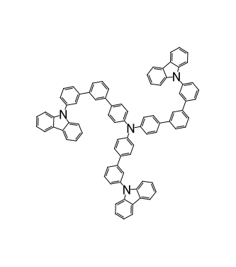 c1cc(-c2ccc(N(c3ccc(-c4cccc(-c5cccc(-n6c7ccccc7c7ccccc76)c5)c4)cc3)c3ccc(-c4cccc(-n5c6ccccc6c6ccccc65)c4)cc3)cc2)cc(-c2cccc(-n3c4ccccc4c4ccccc43)c2)c1